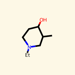 CCN1CCC(O)C(C)C1